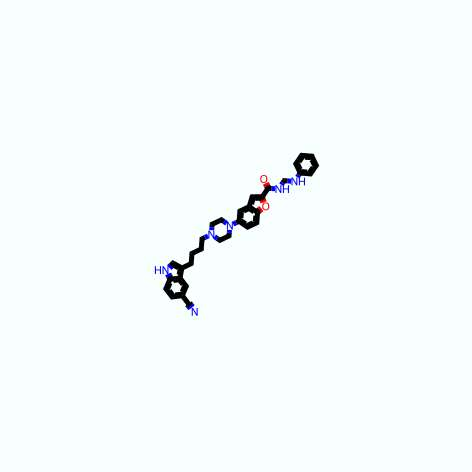 N#Cc1ccc2[nH]cc(CCCCN3CCN(c4ccc5oc(C(=O)NCNc6ccccc6)cc5c4)CC3)c2c1